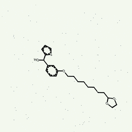 OC(c1cccc(OCCCCCCCCC2OCCO2)c1)c1cccs1